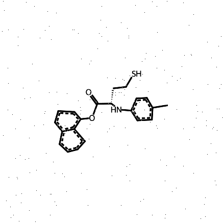 Cc1ccc(N[C@@H](CCS)C(=O)Oc2cccc3ccccc23)cc1